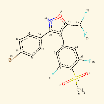 CS(=O)(=O)c1c(F)cc(-c2c(-c3ccc(Br)cc3)noc2C(F)F)cc1F